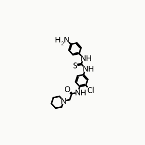 Nc1ccc(NC(=S)Nc2ccc(NC(=O)CN3CCCCC3)c(Cl)c2)cc1